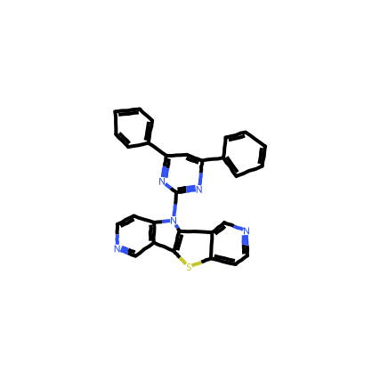 c1ccc(-c2cc(-c3ccccc3)nc(-n3c4ccncc4c4sc5ccncc5c43)n2)cc1